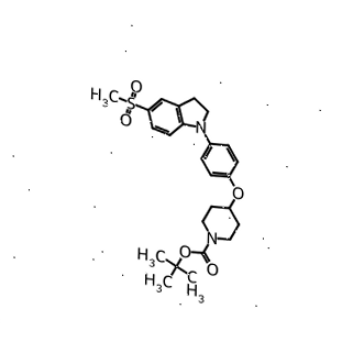 CC(C)(C)OC(=O)N1CCC(Oc2ccc(N3CCc4cc(S(C)(=O)=O)ccc43)cc2)CC1